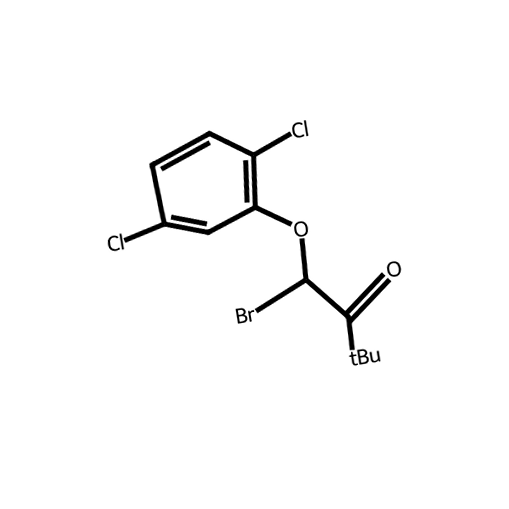 CC(C)(C)C(=O)C(Br)Oc1cc(Cl)ccc1Cl